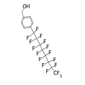 OCc1ccc(C(F)(F)C(F)(F)C(F)(F)C(F)(F)C(F)(F)C(F)(F)C(F)(F)C(F)(F)F)cc1